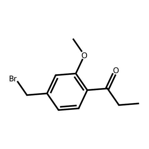 CCC(=O)c1ccc(CBr)cc1OC